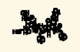 CC1(C)OCC(CNC(=O)c2c(I)c(NC(=O)CN(CC(=O)Nc3c(I)c(C(=O)NCCO)c(I)c(C(=O)NCCO)c3I)CC3COC(C)(C)O3)c(I)c(C(=O)NCC3COC(C)(C)O3)c2I)O1